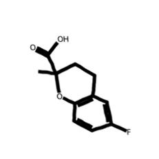 CC1(C(=O)O)CCc2cc(F)ccc2O1